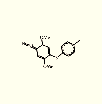 COC1=CC(=[N+]=[N-])C(OC)C=C1Sc1ccc(C)cc1